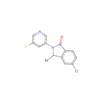 CCC1c2cc(Cl)ccc2C(=O)N1c1cncc(F)c1